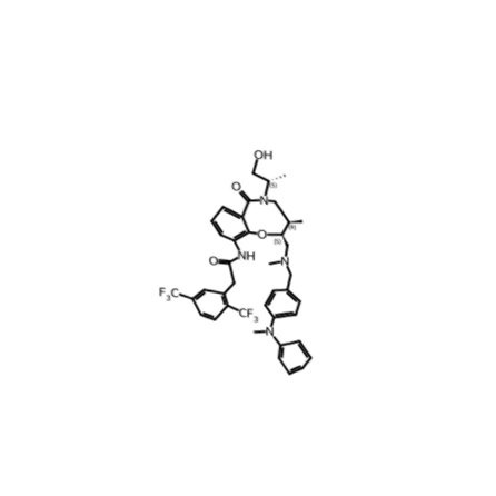 C[C@@H]1CN([C@@H](C)CO)C(=O)c2cccc(NC(=O)Cc3cc(C(F)(F)F)ccc3C(F)(F)F)c2O[C@@H]1CN(C)Cc1ccc(N(C)c2ccccc2)cc1